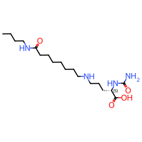 CCCCNC(=O)CCCCCCCNCCC[C@H](NC(N)=O)C(=O)O